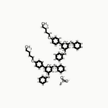 CCCCCOc1ccc(-c2cc(Sc3ccccc3)cc(Sc3ccccc3)[o+]2)cc1.CCCCCOc1ccc(-c2cc(Sc3ccccc3)cc(Sc3ccccc3)[o+]2)cc1.[O-]B([O-])F